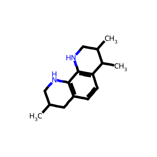 CC1CNc2c(ccc3c2NCC(C)C3C)C1